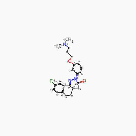 CN(C)CCCOc1cccc(N2N=C3c4cc(F)ccc4CCC3CC2=O)c1